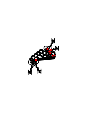 CN(C)CCCCOC(=O)C1(C(=O)OCCCN(C)C)C23CCc4cc5cc6c7c8c9c%10c%11c%12c%13c(cc%14ccc2c2c%15c%16c%17c(c4C%1613)c5c7c9c%17c%11c%15c%13c%142)C=C1CC2CC8(C=C6)C23C(C(=O)OCCCCN(C)C)(C(=O)OCCCCN(C)C)C%103C1%12